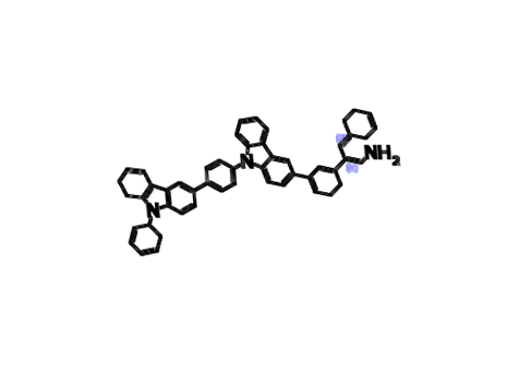 N/C=C(\C=C1/CC=CCC1)C1=CC(c2ccc3c(c2)c2ccccc2n3-c2ccc(-c3ccc4c(c3)c3c(n4C4C=CC=CC4)CCC=C3)cc2)=CCC1